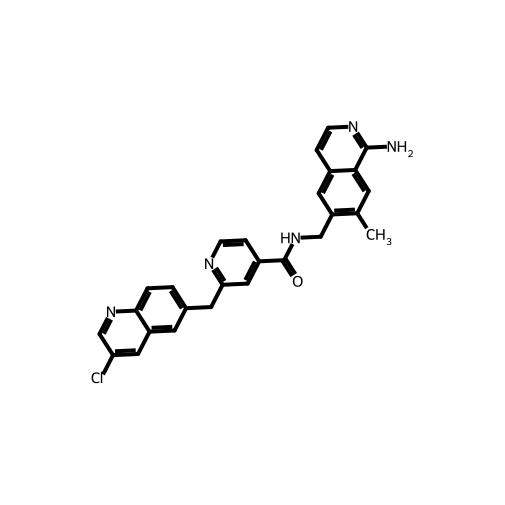 Cc1cc2c(N)nccc2cc1CNC(=O)c1ccnc(Cc2ccc3ncc(Cl)cc3c2)c1